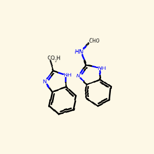 O=C(O)c1nc2ccccc2[nH]1.O=CNc1nc2ccccc2[nH]1